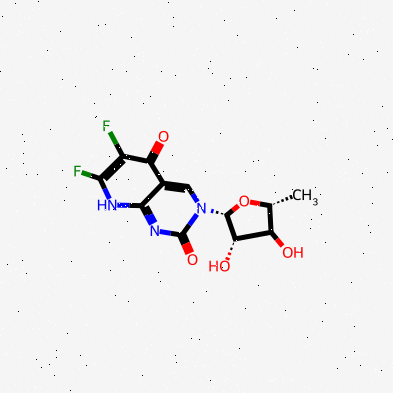 C[C@H]1O[C@@H](n2cc3c(=O)c(F)c(F)[nH]c3nc2=O)[C@@H](O)C1O